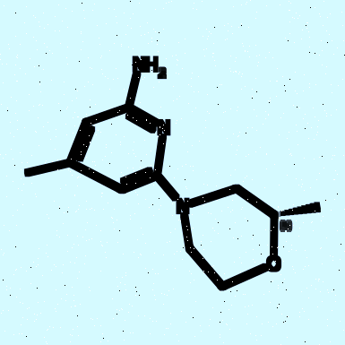 Cc1cc(N)nc(N2CCO[C@@H](C)C2)c1